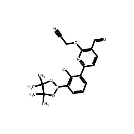 CC1(C)OB(c2cccc(-c3ccc(C=O)c(OCC#N)n3)c2Cl)OC1(C)C